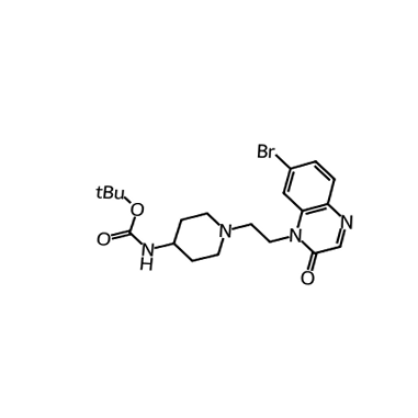 CC(C)(C)OC(=O)NC1CCN(CCn2c(=O)cnc3ccc(Br)cc32)CC1